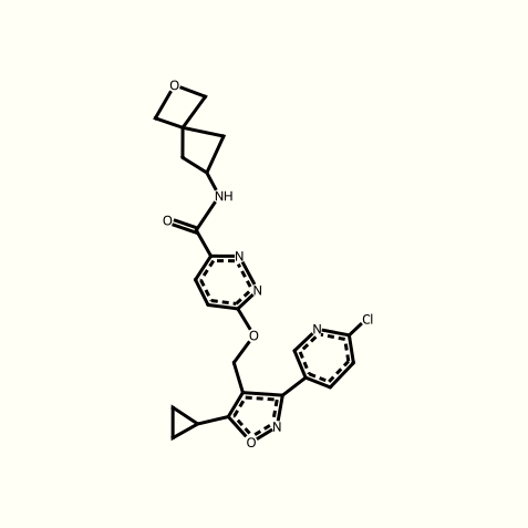 O=C(NC1CC2(COC2)C1)c1ccc(OCc2c(-c3ccc(Cl)nc3)noc2C2CC2)nn1